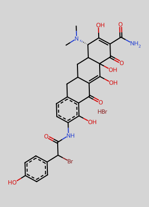 Br.CN(C)[C@@H]1C(O)=C(C(N)=O)C(=O)C2(O)C(O)=C3C(=O)c4c(ccc(NC(=O)C(Br)c5ccc(O)cc5)c4O)CC3CC12